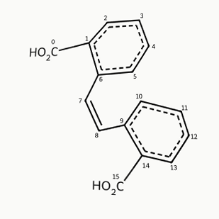 O=C(O)c1ccccc1/C=C\c1ccccc1C(=O)O